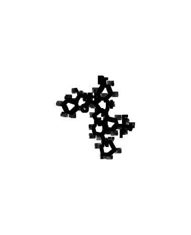 C[C@H](NC(=O)c1c(CN2CCC(N3CCCCC3)CC2)c(-c2cccc(C(F)(F)F)c2)nc2ccc(Br)cc12)c1ccccc1